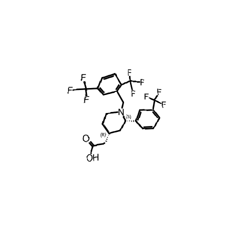 O=C(O)C[C@@H]1CCN(Cc2cc(C(F)(F)F)ccc2C(F)(F)F)[C@H](c2cccc(C(F)(F)F)c2)C1